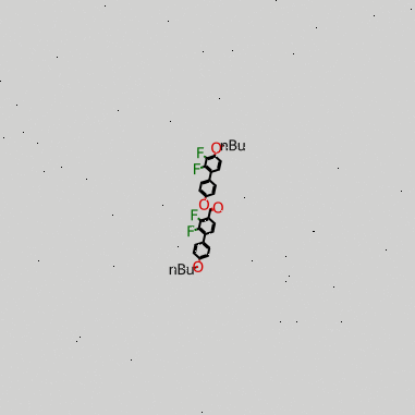 CCCCOc1ccc(-c2ccc(C(=O)Oc3ccc(-c4ccc(OCCCC)c(F)c4F)cc3)c(F)c2F)cc1